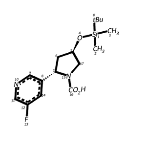 CC(C)(C)[Si](C)(C)O[C@@H]1C[C@@H](c2cncc(F)c2)N(C(=O)O)C1